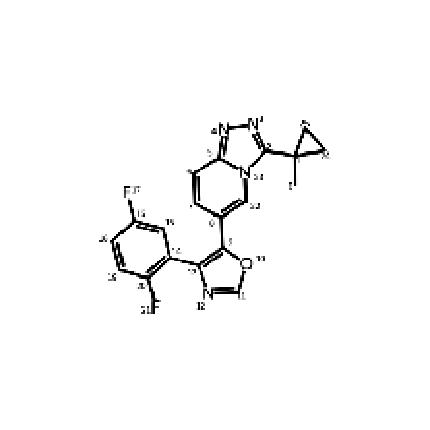 CC1(c2nnc3ccc(-c4ocnc4-c4cc(F)ccc4F)cn23)CC1